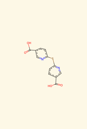 O=C(O)c1ccc(Sc2ccc(C(=O)O)cn2)nc1